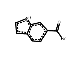 [NH]C(=O)c1ccc2cc[nH]c2c1